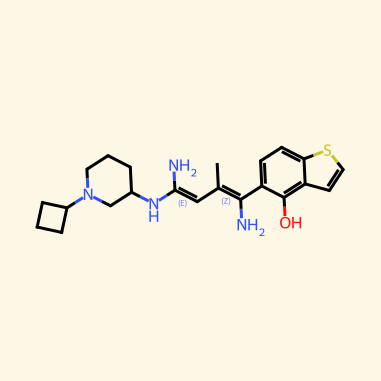 CC(/C=C(\N)NC1CCCN(C2CCC2)C1)=C(/N)c1ccc2sccc2c1O